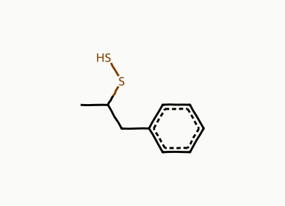 CC(Cc1ccccc1)SS